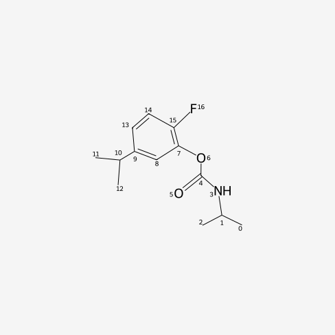 CC(C)NC(=O)Oc1cc(C(C)C)ccc1F